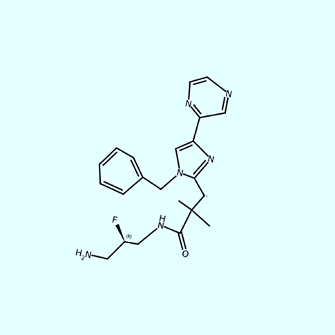 CC(C)([CH]c1nc(-c2cnccn2)cn1Cc1ccccc1)C(=O)NC[C@H](F)CN